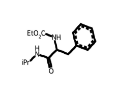 CCOC(=O)NC(Cc1ccccc1)C(=O)NC(C)C